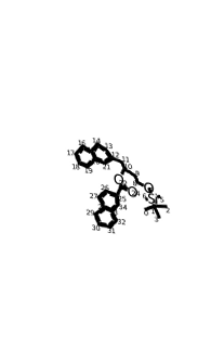 CC(C)(C)[Si](C)(C)OCCC(Cc1ccc2ccccc2c1)OC(=O)c1ccc2ccccc2c1